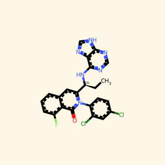 CC[C@H](Nc1ncnc2[nH]cnc12)c1cc2cccc(F)c2c(=O)n1-c1ccc(Cl)cc1Cl